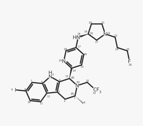 C[C@@H]1Cc2c([nH]c3cc(I)ccc23)[C@@H](c2ccc(N[C@H]3CCN(CCCF)C3)cn2)N1CC(F)(F)F